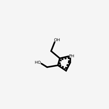 OCc1cc[pH]c1CO